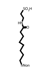 CCCCCCCCCCCCCCCCC(=O)NCCS(=O)(=O)O